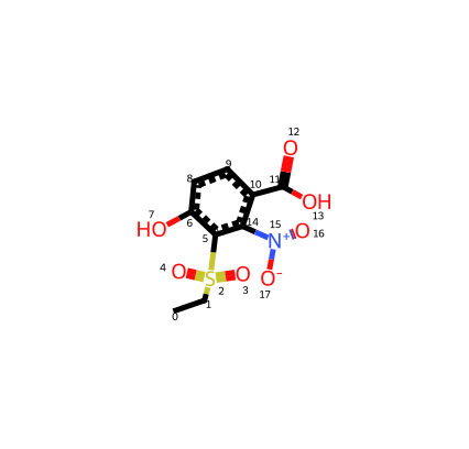 CCS(=O)(=O)c1c(O)ccc(C(=O)O)c1[N+](=O)[O-]